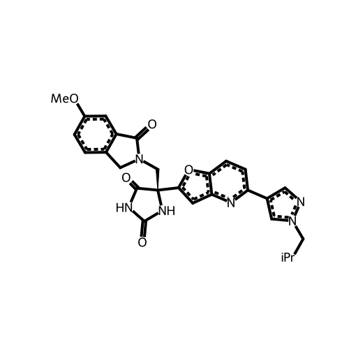 COc1ccc2c(c1)C(=O)N(C[C@@]1(c3cc4nc(-c5cnn(CC(C)C)c5)ccc4o3)NC(=O)NC1=O)C2